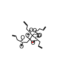 C=CCS(=O)(=O)CC(C)(C)C(S(=O)(=O)CC=C)(S(=O)(=O)CC=C)S(=O)(=O)CC=C